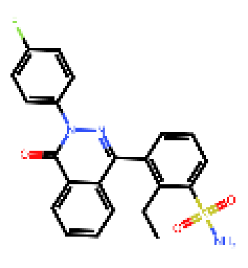 CCc1c(-c2nn(-c3ccc(F)cc3)c(=O)c3ccccc23)cccc1S(N)(=O)=O